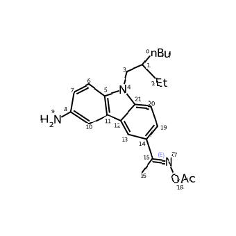 CCCCC(CC)Cn1c2ccc(N)cc2c2cc(/C(C)=N/OC(C)=O)ccc21